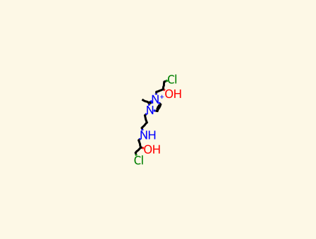 Cc1n(CCCNCC(O)CCl)cc[n+]1CC(O)CCl